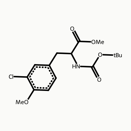 COC(=O)C(Cc1ccc(OC)c(Cl)c1)NC(=O)OC(C)(C)C